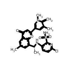 C=C1C(C)=CC(c2cc(=O)c3cc(C)cc([C@@H](C)Nc4ccc(Cl)nc4S(N)(=O)=O)c3o2)=CN1C